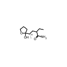 CCC(C[C@H](C)C1(O)CCCO1)C(N)=O